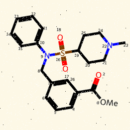 COC(=O)c1cccc(CN(c2ccccc2)S(=O)(=O)C2CCN(C)CC2)c1